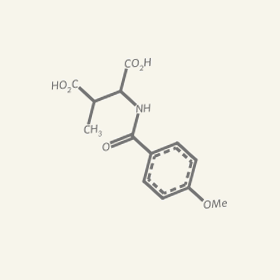 COc1ccc(C(=O)NC(C(=O)O)C(C)C(=O)O)cc1